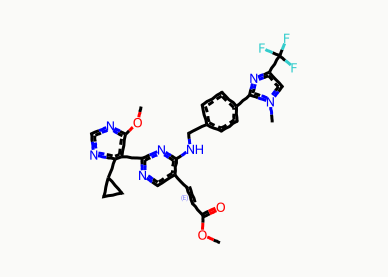 COC(=O)/C=C/c1cnc(-c2c(OC)ncnc2C2CC2)nc1NCc1ccc(-c2nc(C(F)(F)F)cn2C)cc1